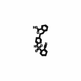 N#Cc1ccccc1S(=O)(=O)Nc1ccc(CCc2ccccc2C(=O)O)cc1